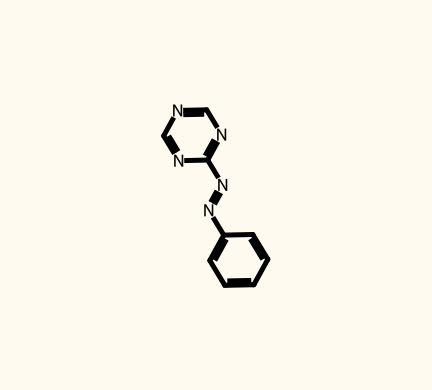 c1ccc(N=Nc2ncncn2)cc1